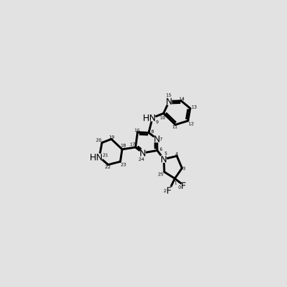 FC1(F)CCN(c2nc(Nc3ccccn3)cc(C3CCNCC3)n2)C1